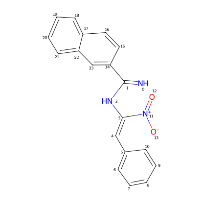 N=C(NC(=Cc1ccccc1)[N+](=O)[O-])c1ccc2ccccc2c1